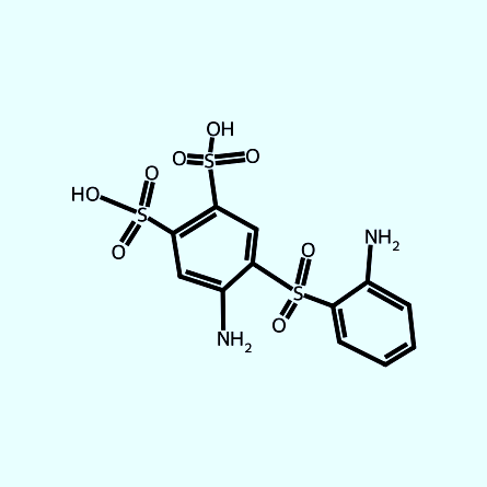 Nc1ccccc1S(=O)(=O)c1cc(S(=O)(=O)O)c(S(=O)(=O)O)cc1N